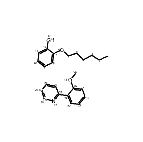 CCCCCCOc1ccccc1O.COc1ccccc1-c1ccnnn1